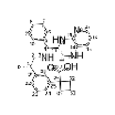 C[C@H](CN[C@H](c1ccccc1)[C@H]1CNc2cccnc2N1)c1cccc(C2(C(=O)O)CCC2)c1